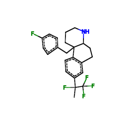 CC(F)(c1ccc2c(c1)CCC1NCCCC21Cc1ccc(F)cc1)C(F)(F)F